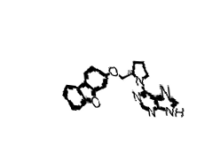 c1ccc2c(c1)oc1cc(OC[C@H]3CCCN3c3ncnc4[nH]cnc34)ccc12